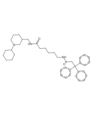 O=C(CCCCCNC(=O)CC(c1ccccc1)(c1ccccc1)c1ccccc1)NCC1CCCN(C2CCCCC2)C1